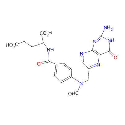 Nc1nc2ncc(CN(C=O)c3ccc(C(=O)NC(CCC(=O)O)C(=O)O)cc3)nc2c(=O)[nH]1